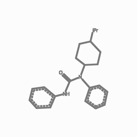 CC(C)C1CCC(N(C(=O)Nc2ccccc2)c2ccccc2)CC1